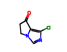 O=C1CCn2cnc(Cl)c21